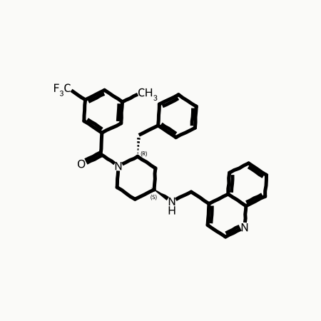 Cc1cc(C(=O)N2CC[C@H](NCc3ccnc4ccccc34)C[C@H]2Cc2ccccc2)cc(C(F)(F)F)c1